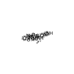 CC(C)CC(NC(=O)c1ccc(N2CCNCC2)cc1)C(=O)N1CCC2C1C(=O)CN2C(=O)C(N)C1CCCCC1